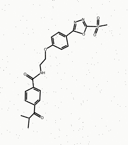 CC(C)C(=O)c1ccc(C(=O)NCCOc2ccc(-c3nnc(S(C)(=O)=O)o3)cc2)cc1